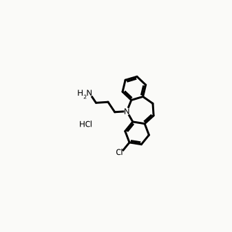 Cl.NCCCN1C2=CC(Cl)=CCC2=CCc2ccccc21